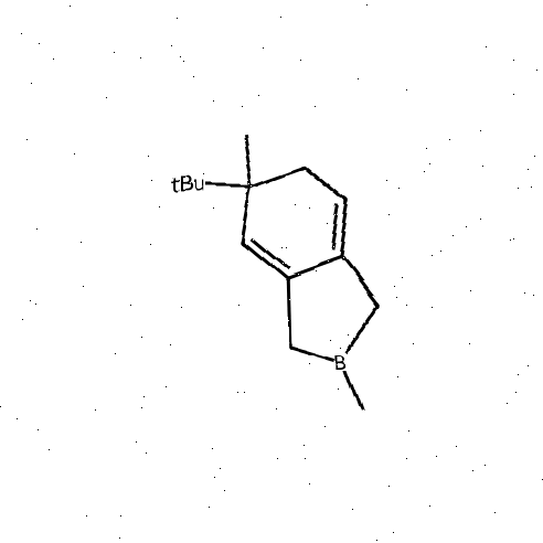 CB1CC2=CCC(C)(C(C)(C)C)C=C2C1